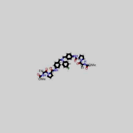 CC[C@H](NC(=O)OC)C(=O)N1CCCC1C(=O)Nc1ccc(CN(Cc2ccc(NC(=O)[C@@H]3CCCN3C(=O)[C@H](CC)NC(=O)OC)cc2)c2ccc(F)cc2)cc1